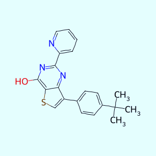 CC(C)(C)c1ccc(-c2csc3c(O)nc(-c4ccccn4)nc23)cc1